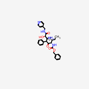 CC[C@H](C)[C@H](NC(=O)OCc1ccccc1)C(=O)C(c1ccccc1)[C@H](N)[C@@H](O)C(=O)NCc1ccncc1